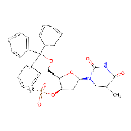 Cc1cn([C@H]2C[C@@H](OS(C)(=O)=O)[C@@H](COC(c3ccccc3)(c3ccccc3)c3ccccc3)O2)c(=O)[nH]c1=O